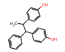 CC(c1ccc(O)cc1)C(c1ccccc1)c1ccc(O)cc1